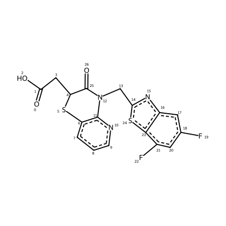 O=C(O)CC1Sc2cccnc2N(Cc2nc3cc(F)cc(F)c3s2)C1=O